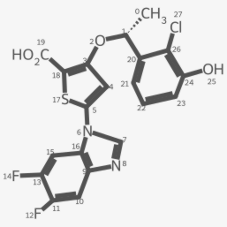 C[C@@H](Oc1cc(-n2cnc3cc(F)c(F)cc32)sc1C(=O)O)c1cccc(O)c1Cl